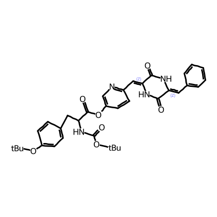 CC(C)(C)OC(=O)NC(Cc1ccc(OC(C)(C)C)cc1)C(=O)Oc1ccc(/C=c2\[nH]c(=O)/c(=C/c3ccccc3)[nH]c2=O)nc1